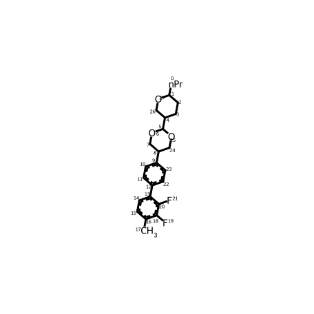 CCCC1CCC(C2OCC(c3ccc(-c4ccc(C)c(F)c4F)cc3)CO2)CO1